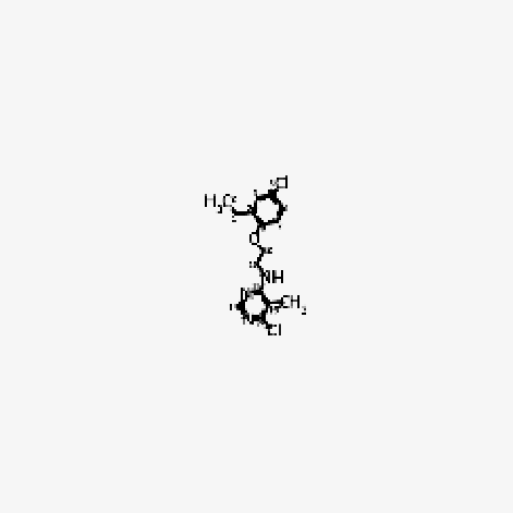 CCc1cc(Cl)ccc1OCCNc1ncnc(Cl)c1C